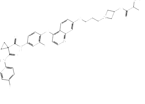 CC(N)C(=O)OC1CN(CCCOc2ccc3c(Oc4ccc(NC(=O)C5(C(=O)Nc6ccc(F)cc6)CC5)cc4F)ccnc3c2)C1